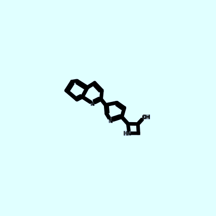 OC1CNC1c1ccc(-c2c[c]c3ccccc3n2)cn1